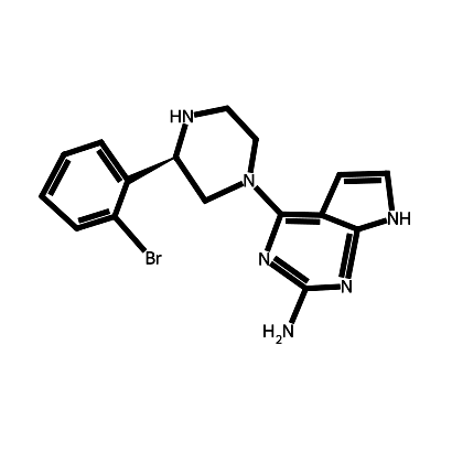 Nc1nc(N2CCN[C@H](c3ccccc3Br)C2)c2cc[nH]c2n1